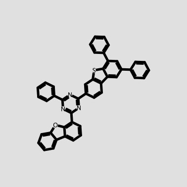 c1ccc(-c2cc(-c3ccccc3)c3sc4cc(-c5nc(-c6ccccc6)nc(-c6cccc7c6oc6ccccc67)n5)ccc4c3c2)cc1